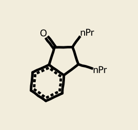 CCCC1C(=O)c2ccccc2C1CCC